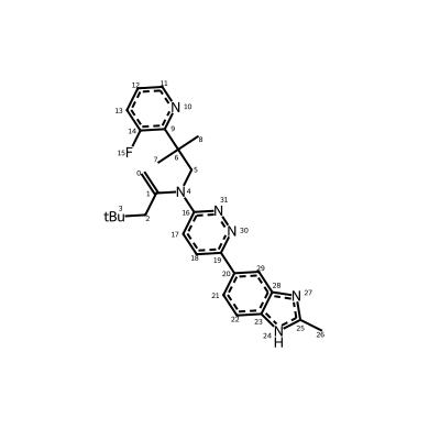 C=C(CC(C)(C)C)N(CC(C)(C)c1ncccc1F)c1ccc(-c2ccc3[nH]c(C)nc3c2)nn1